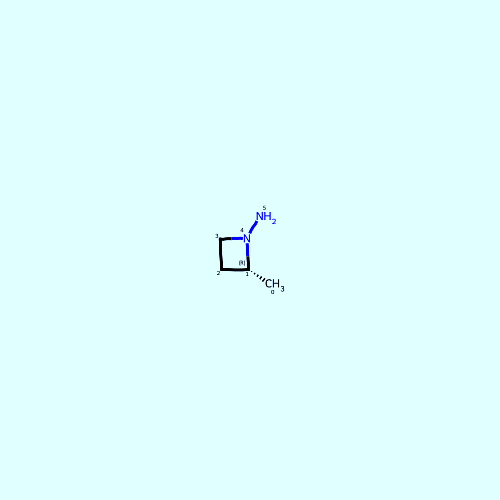 C[C@@H]1CCN1N